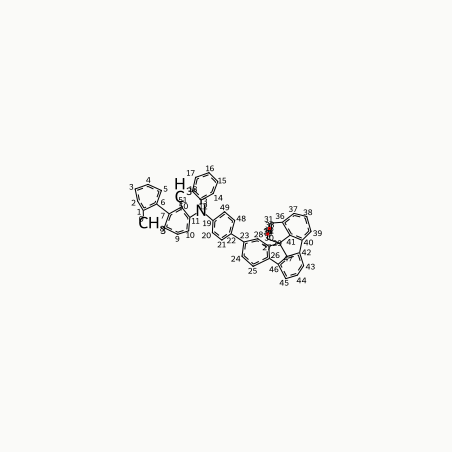 Cc1ccccc1-c1cccc(N(c2ccccc2)c2ccc(-c3ccc4c(c3)C35C6=C(C=CCC6)c6cccc(c63)-c3cccc-4c35)cc2)c1C